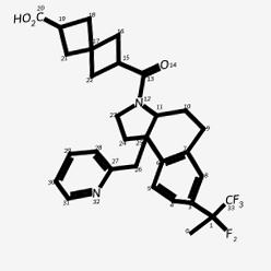 CC(F)(c1ccc2c(c1)CCC1N(C(=O)C3CC4(CC(C(=O)O)C4)C3)CCC21Cc1ccccn1)C(F)(F)F